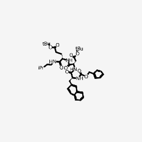 CC(C)CCNC(=O)[C@H](CCC(=O)OC(C)(C)C)NC(=O)[C@H](CC(=O)OC(C)(C)C)NC(=O)[C@H](Cc1ccc2ccccc2c1)NC(=O)OCc1ccccc1